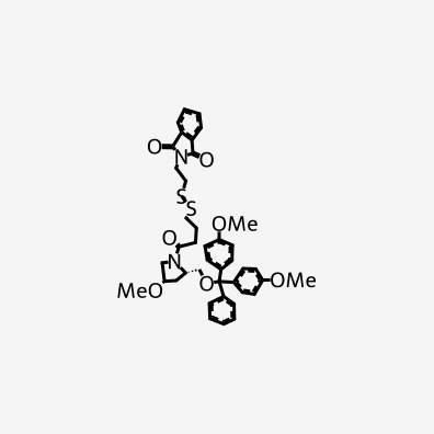 COc1ccc(C(OC[C@@H]2C[C@@H](OC)CN2C(=O)CCCSSCCN2C(=O)c3ccccc3C2=O)(c2ccccc2)c2ccc(OC)cc2)cc1